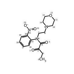 CCC(=O)C(=O)N(CCN1CCOCC1)c1ccccc1[N+](=O)[O-]